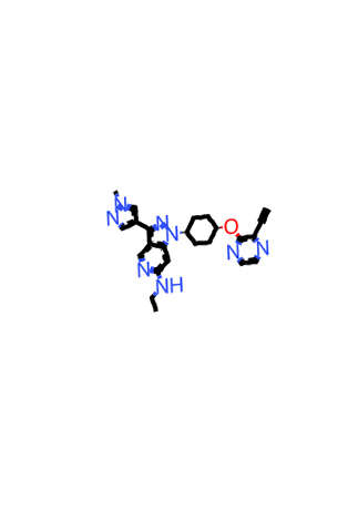 C#Cc1nccnc1O[C@H]1CC[C@@H](n2nc(-c3cnn(C)c3)c3cnc(NCC)cc32)CC1